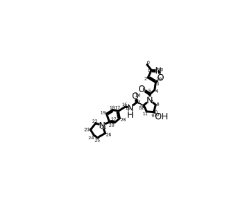 Cc1cc(CC(=O)N2C[C@H](O)C[C@H]2C(=O)NCc2ccc(N3CCCCC3)cc2)on1